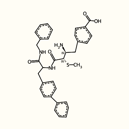 CS[C@H](C(=O)NC(Cc1ccc(-c2ccccc2)cc1)C(=O)NCc1ccccc1)[C@@H](N)Cc1ccc(C(=O)O)cc1